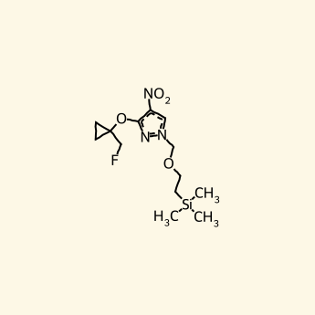 C[Si](C)(C)CCOCn1cc([N+](=O)[O-])c(OC2(CF)CC2)n1